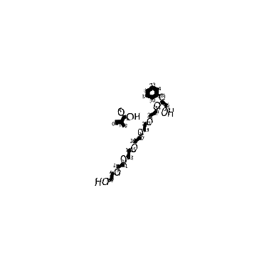 C=C(C)C(=O)O.OCCOCCOCCOCCOCCOCCOC(CO)Oc1ccccc1